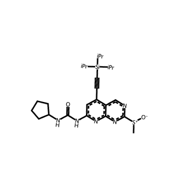 CC(C)[Si](C#Cc1cc(NC(=O)NC2CCCC2)nc2nc([S+](C)[O-])ncc12)(C(C)C)C(C)C